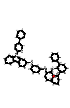 c1ccc(-c2ccc(-n3c4ccccc4c4ccc(Oc5cccc(Nc6ccccc6Nc6c(-c7ccccc7)cccc6-c6ccccc6)c5)cc43)nc2)cc1